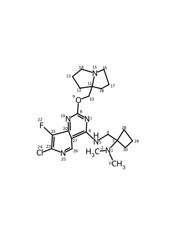 CN(C)C1(CNc2nc(OCC34CCCN3CCC4)nc3c(F)c(Cl)ncc23)CCC1